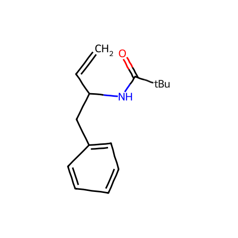 C=CC(Cc1ccccc1)NC(=O)C(C)(C)C